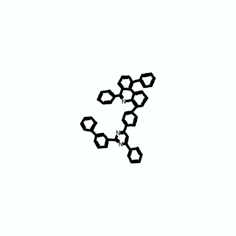 c1ccc(-c2cccc(-c3nc(-c4ccccc4)cc(-c4ccc(-c5cccc6c5nc(-c5ccccc5)c5cccc(-c7ccccc7)c56)cc4)n3)c2)cc1